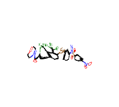 O=C(/C=C/c1ccc(Sc2cccc(NS(=O)(=O)c3ccc([N+](=O)[O-])cc3)c2)c(C(F)(F)F)c1C(F)(F)F)N1CCOCC1